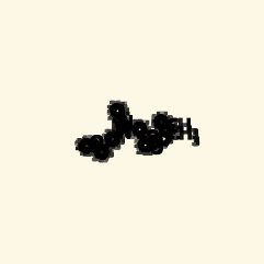 CC1(C)C2=C(C3=C(CC2)Oc2cccc(-c4cccc(-c5nc(-c6ccccc6)nc(-c6ccc(-c7cccc8c7oc7ccccc78)cc6)n5)c4)c2O3)c2ccccc21